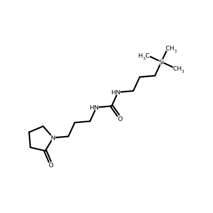 C[Si](C)(C)CCCNC(=O)NCCCN1CCCC1=O